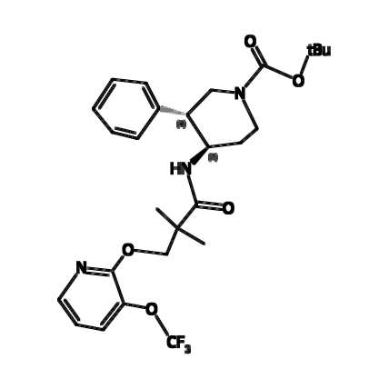 CC(C)(C)OC(=O)N1CC[C@@H](NC(=O)C(C)(C)COc2ncccc2OC(F)(F)F)[C@H](c2ccccc2)C1